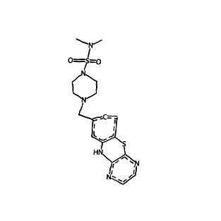 CN(C)S(=O)(=O)N1CCN(Cc2ccc3c(c2)Nc2nccnc2S3)CC1